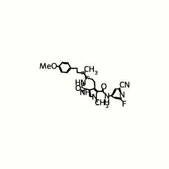 COc1ccc(CC[C@H](C)[C@H]2CCc3c(cn(C)c3C(=O)Nc3cc(F)nc(C#N)c3)S(=N)(=O)N2)cc1